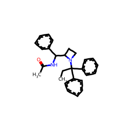 CCC(c1ccccc1)(c1ccccc1)N1CCC1C(NC(C)=O)c1ccccc1